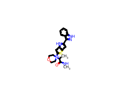 CNC(=O)C(C)[N+]1(c2cc3[nH]c(-c4n[nH]c5ccccc45)cc3s2)CCOCC1